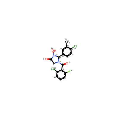 O=C1CN(C(=O)c2c(F)cccc2Cl)C(c2ccc(Cl)c(C(F)(F)F)c2)N1O